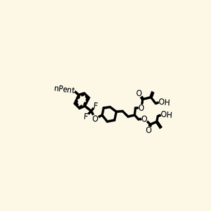 C=C(CO)C(=O)OCC(CCC1CCC(OC(F)(F)c2ccc(CCCCC)cc2)CC1)COC(=O)C(=C)CO